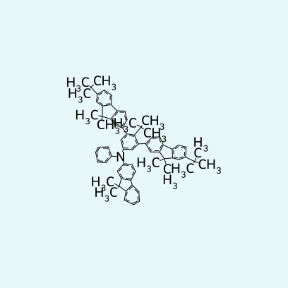 CC(C)(C)c1ccc2c(c1)C(C)(C)c1cc(-c3cc(N(c4ccccc4)c4ccc5c(c4)C(C)(C)c4ccccc4-5)cc(-c4ccc5c(c4)C(C)(C)c4cc(C(C)(C)C)ccc4-5)c3C(C)(C)C)ccc1-2